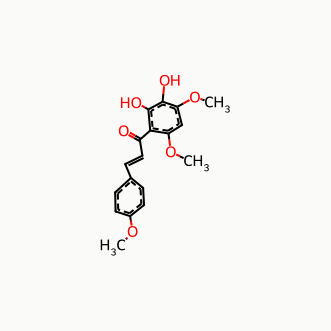 COc1ccc(C=CC(=O)c2c(OC)cc(OC)c(O)c2O)cc1